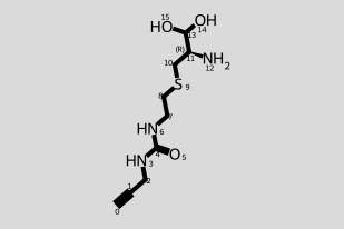 C#CCNC(=O)NCCSC[C@H](N)C(O)O